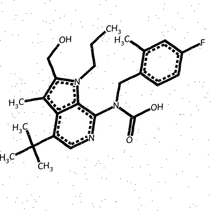 CCCn1c(CO)c(C)c2c(C(C)(C)C)cnc(N(Cc3ccc(F)cc3C)C(=O)O)c21